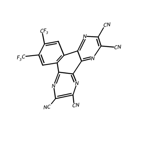 N#Cc1nc2c3cc(C(F)(F)F)c(C(F)(F)F)cc3c3nc(C#N)c(C#N)nc3c2nc1C#N